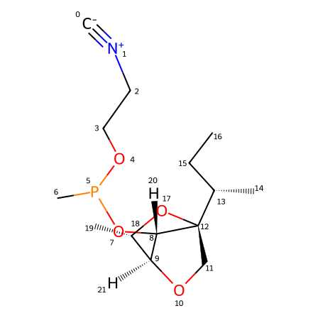 [C-]#[N+]CCOP(C)O[C@H]1[C@H]2OC[C@]1([C@@H](C)CC)O[C@H]2C